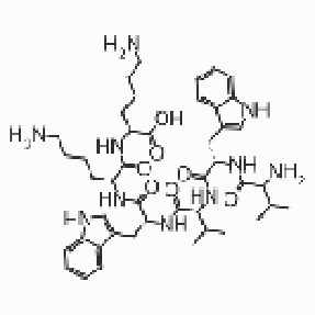 CC(C)[C@H](N)C(=O)N[C@@H](Cc1c[nH]c2ccccc12)C(=O)N[C@H](C(=O)N[C@@H](Cc1c[nH]c2ccccc12)C(=O)N[C@@H](CCCCN)C(=O)N[C@@H](CCCCN)C(=O)O)C(C)C